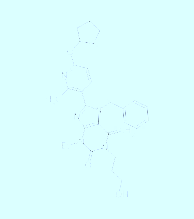 C=C1c2c(nc(-c3ccc(OC4CCCC4)nc3C)n2Cc2ccccc2)N(CC)C(=O)N1CCCO